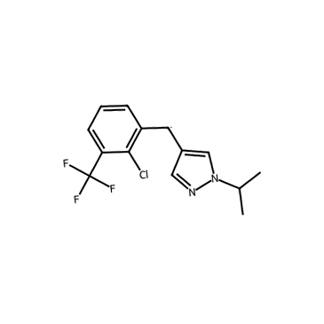 CC(C)n1cc([CH]c2cccc(C(F)(F)F)c2Cl)cn1